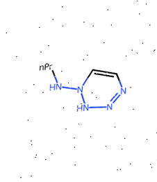 CCCNN1C=CN=NN1